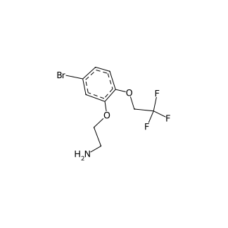 NCCOc1cc(Br)ccc1OCC(F)(F)F